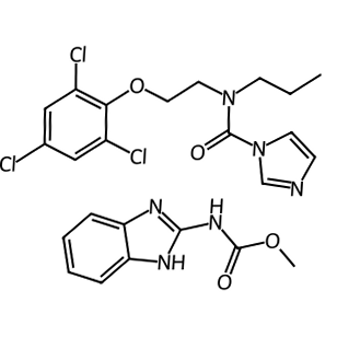 CCCN(CCOc1c(Cl)cc(Cl)cc1Cl)C(=O)n1ccnc1.COC(=O)Nc1nc2ccccc2[nH]1